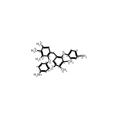 Cc1cc(Cc2cc(C)c(C)c(C)c2Oc2ccc(N)cc2)c(Oc2ccc(N)cc2)c(C)c1C